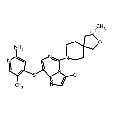 C[C@H]1CC2(CCN(c3ncc(Sc4cc(N)ncc4C(F)(F)F)c4ncc(Cl)n34)CC2)CO1